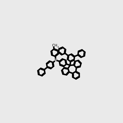 Cc1ccc(N(c2ccc(-c3ccccc3)cc2)c2ccc(C3(c4cc(-c5ccccc5)cc(-c5ccccc5)c4)c4ccccc4-c4ccccc4-c4ccccc43)cc2)cc1